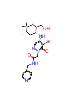 C[C@@H]1[C@@H](CO)[C@H](Nc2cnn(CC(=O)NCc3ccncc3)c(=O)c2Br)C[C@H](C)C1(C)C